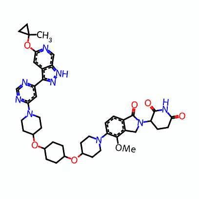 COc1c(N2CCC(OC3CCC(OC4CCN(c5cc(-c6n[nH]c7cnc(OC8(C)CC8)cc67)ncn5)CC4)CC3)CC2)ccc2c1CN(C1CCC(=O)NC1=O)C2=O